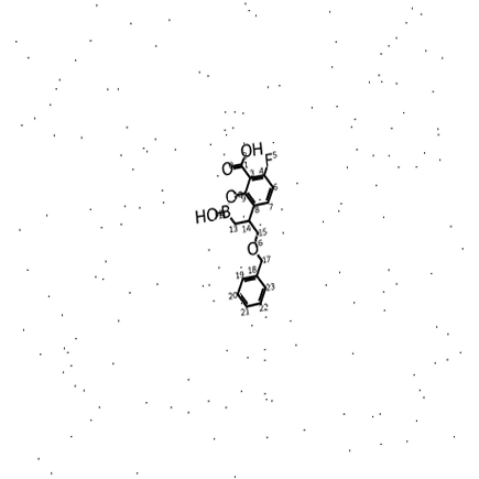 O=C(O)c1c(F)ccc2c1OB(O)CC2COCc1ccccc1